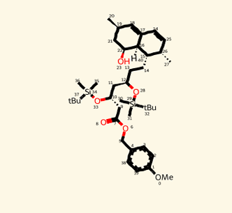 COc1ccc(COC(=O)C[C@@H](C[C@@H](CC[C@@H]2[C@@H]3C(=C[C@H](C)C[C@@H]3O)C=C[C@@H]2C)O[Si](C)(C)C(C)(C)C)O[Si](C)(C)C(C)(C)C)cc1